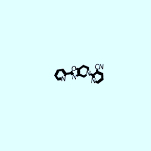 N#Cc1cccnc1N1CCc2oc(-c3ccccn3)nc2C1